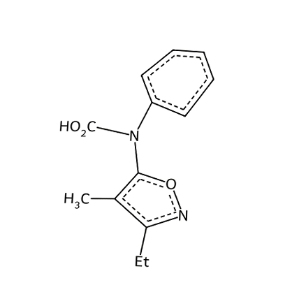 CCc1noc(N(C(=O)O)c2ccccc2)c1C